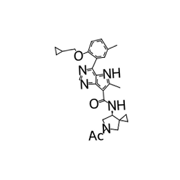 CC(=O)N1C[C@@H](NC(=O)c2c(C)[nH]c3c(-c4cc(C)ccc4OCC4CC4)ncnc23)C2(CC2)C1